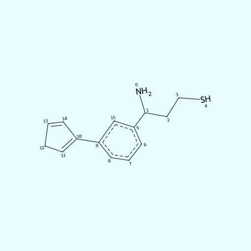 NC(CCS)c1cccc(C2=CCC=C2)c1